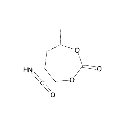 CC1CCCOC(=O)O1.N=C=O